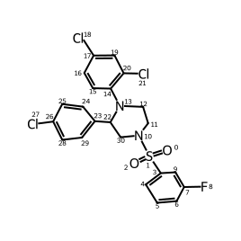 O=S(=O)(c1cccc(F)c1)N1CCN(c2ccc(Cl)cc2Cl)C(c2ccc(Cl)cc2)C1